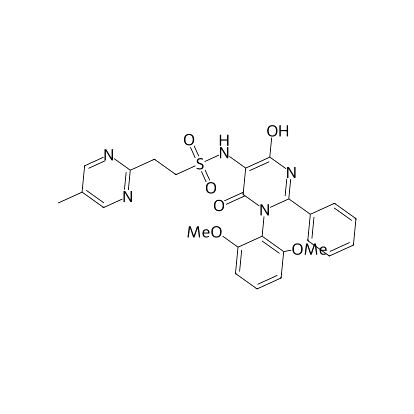 COc1cccc(OC)c1-n1c(-c2ccccc2)nc(O)c(NS(=O)(=O)CCc2ncc(C)cn2)c1=O